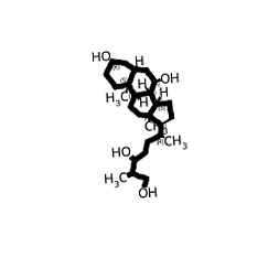 CC(CO)C(O)CC[C@@H](C)[C@@H]1CC[C@H]2[C@@H]3[C@H](O)C[C@@H]4C[C@H](O)CC[C@]4(C)[C@H]3CC[C@@]21C